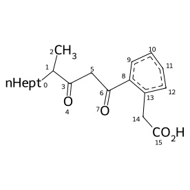 CCCCCCCC(C)C(=O)CC(=O)c1ccccc1CC(=O)O